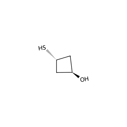 O[C@H]1C[C@H](S)C1